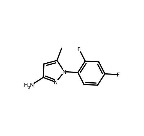 Cc1cc(N)nn1-c1ccc(F)cc1F